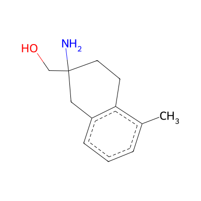 Cc1cccc2c1CCC(N)(CO)C2